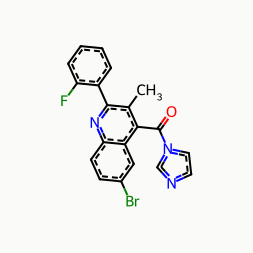 Cc1c(-c2ccccc2F)nc2ccc(Br)cc2c1C(=O)n1ccnc1